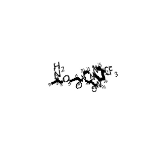 CC(N)COCCC(=O)N1CCN2c3ncc(C(F)(F)F)cc3N(C)C(=O)C2C1